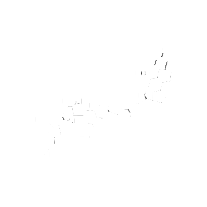 CCCC1CC(C(=O)N[C@H](C(C)Cl)[C@H]2O[C@H](SC)[C@H](OC(=O)CCC(=O)OCC(=O)[C@@]3(O)CCC4C5CCC6=CC(=O)C=C[C@]6(C)C5[C@@H](O)C[C@@]43C)[C@@H](O)[C@H]2O)N(C)C1